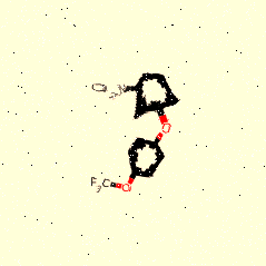 O=[N+]([O-])c1cccc(Oc2ccc(OC(F)(F)F)cc2)c1